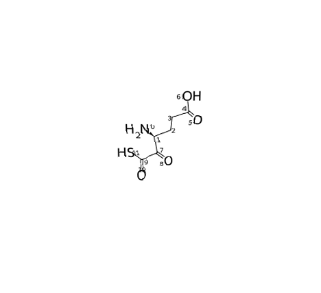 N[C@@H](CCC(=O)O)C(=O)C(=O)S